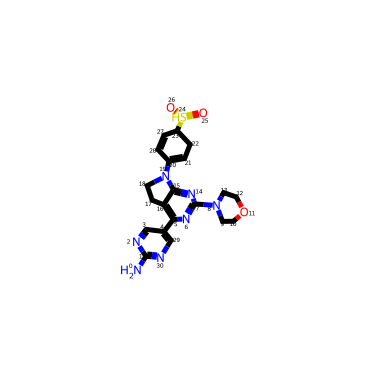 Nc1ncc(-c2nc(N3CCOCC3)nc3c2CCN3C2=CCC([SH](=O)=O)C=C2)cn1